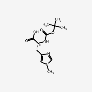 Cn1cnc(C[C@@H](NC(=O)OC(C)(C)C)C(=O)O)c1